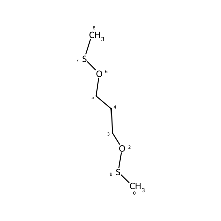 CSOCCCOSC